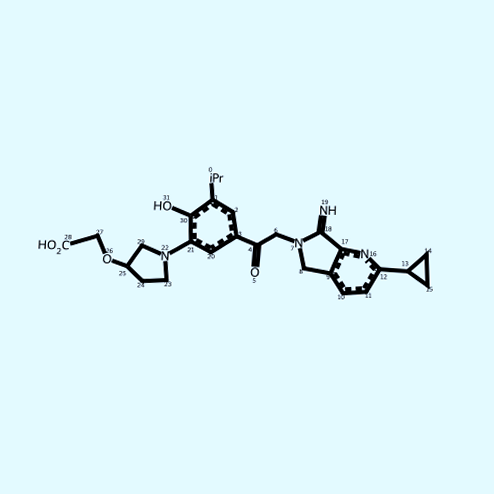 CC(C)c1cc(C(=O)CN2Cc3ccc(C4CC4)nc3C2=N)cc(N2CCC(OCC(=O)O)C2)c1O